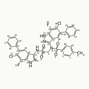 Cc1ccc(S(=O)(=O)N(CS(=O)(=O)Nc2n[nH]c3c(F)c(Cl)c(-c4ccccc4)cc23)c2n[nH]c3c(F)c(Cl)c(-c4ccccc4)cc23)cc1